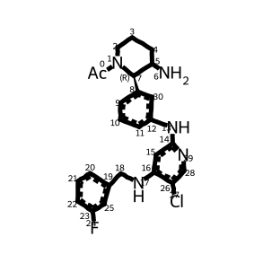 CC(=O)N1CCCC(N)[C@H]1c1cccc(Nc2cc(NCc3cccc(F)c3)c(Cl)cn2)c1